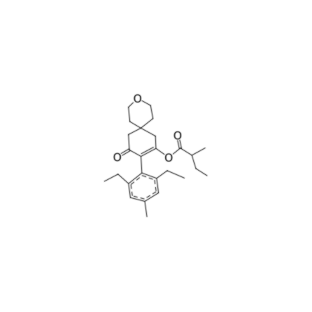 CCc1cc(C)cc(CC)c1C1=C(OC(=O)C(C)CC)CC2(CCOCC2)CC1=O